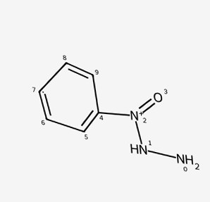 NN[N+](=O)c1cc[c]cc1